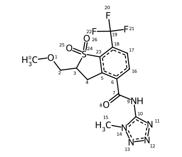 COCC1Cc2c(C(=O)Nc3nnnn3C)ccc(C(F)(F)F)c2S1(=O)=O